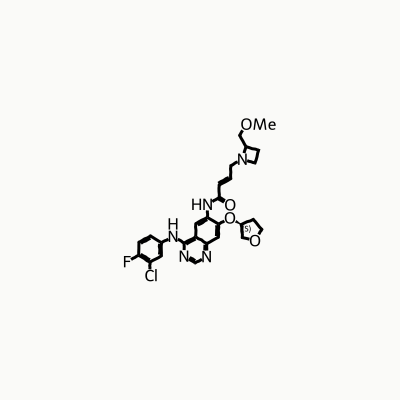 COCC1CCN1CC=CC(=O)Nc1cc2c(Nc3ccc(F)c(Cl)c3)ncnc2cc1O[C@H]1CCOC1